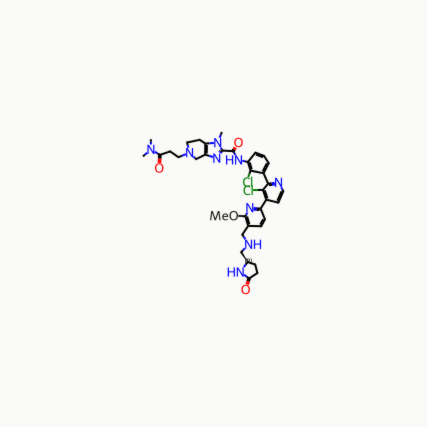 COc1nc(-c2ccnc(-c3cccc(NC(=O)c4nc5c(n4C)CCN(CCC(=O)N(C)C)C5)c3Cl)c2Cl)ccc1CNC[C@H]1CCC(=O)N1